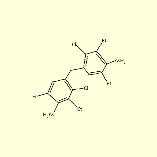 CCc1cc(Cc2cc(CC)c([AsH2])c(CC)c2Cl)c(Cl)c(CC)c1[AsH2]